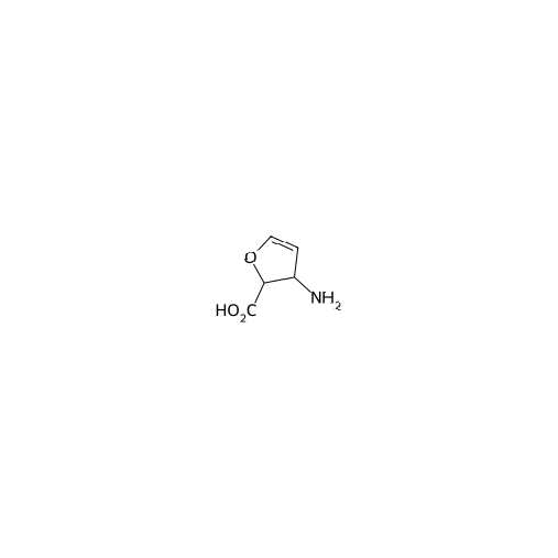 NC1C=COC1C(=O)O